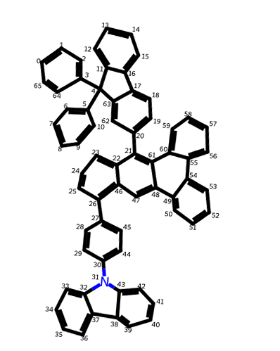 c1ccc(C2(c3ccccc3)c3ccccc3-c3ccc(-c4c5cccc(-c6ccc(-n7c8ccccc8c8ccccc87)cc6)c5cc5c6ccccc6c6ccccc6c45)cc32)cc1